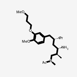 COCCCOc1cc(C[C@@H](C[C@H](N)[C@@H](C)CN(C)C(C)=O)C(C)C)ccc1OC